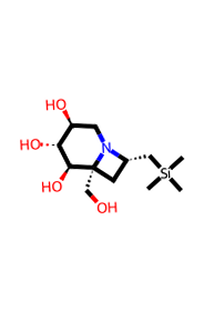 C[Si](C)(C)C[C@@H]1C[C@@]2(CO)[C@@H](O)[C@H](O)[C@@H](O)CN12